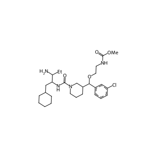 CCC(N)C(CC1CCCCC1)NC(=O)N1CCCC(C(OCCNC(=O)OC)c2cccc(Cl)c2)C1